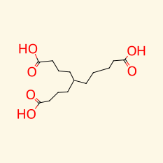 O=C(O)CCCCC(CCCC(=O)O)CCCC(=O)O